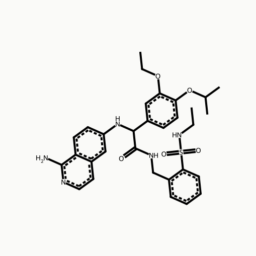 CCNS(=O)(=O)c1ccccc1CNC(=O)C(Nc1ccc2c(N)nccc2c1)c1ccc(OC(C)C)c(OCC)c1